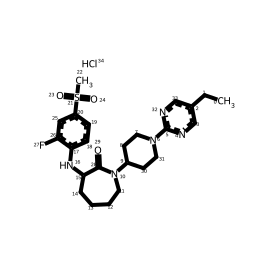 CCc1cnc(N2CCC(N3CCCCC(Nc4ccc(S(C)(=O)=O)cc4F)C3=O)CC2)nc1.Cl